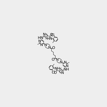 Cc1nc(Nc2ncc(C(=O)Nc3c(C)cccc3Cl)s2)cc(N2CCN(C(=O)CCCCC(=O)N3CCN(c4cc(Nc5ncc(C(=O)Nc6c(C)cccc6Cl)s5)nc(C)n4)CC3)CC2)n1